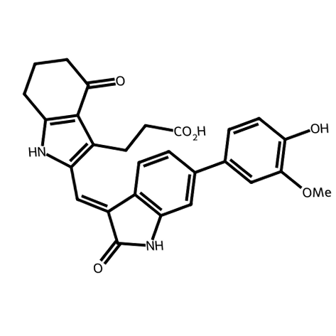 COc1cc(-c2ccc3c(c2)NC(=O)C3=Cc2[nH]c3c(c2CCC(=O)O)C(=O)CCC3)ccc1O